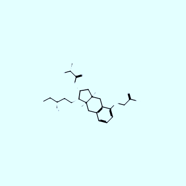 CC[C@H](O)CC[C@@H]1[C@H]2Cc3cccc(OCC(=O)O)c3C[C@H]2C[C@H]1OC(=O)[C@H](C)O